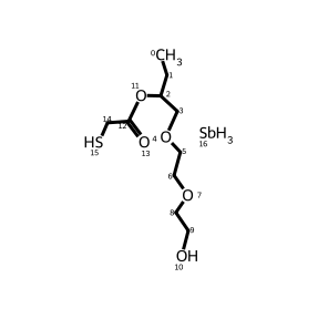 CCC(COCCOCCO)OC(=O)CS.[SbH3]